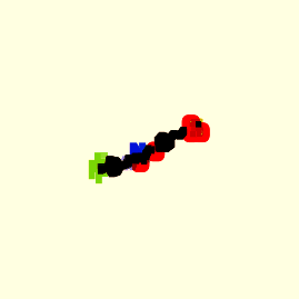 CS(=O)(=O)OCCCc1ccc(OCc2coc(/C=C/c3ccc(C(F)(F)F)cc3)n2)cc1